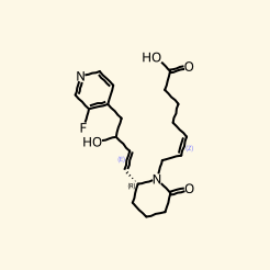 O=C(O)CCC/C=C\CN1C(=O)CCC[C@@H]1/C=C/C(O)Cc1ccncc1F